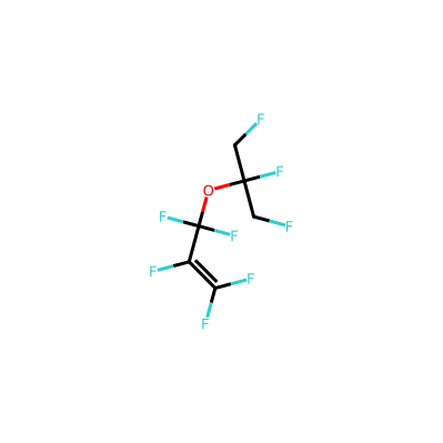 FCC(F)(CF)OC(F)(F)C(F)=C(F)F